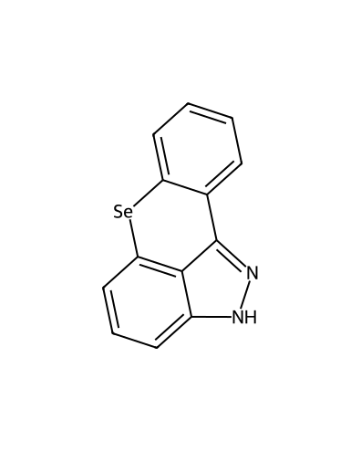 c1ccc2c(c1)[Se]c1cccc3[nH]nc-2c13